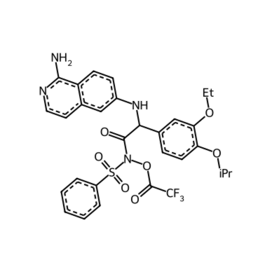 CCOc1cc(C(Nc2ccc3c(N)nccc3c2)C(=O)N(OC(=O)C(F)(F)F)S(=O)(=O)c2ccccc2)ccc1OC(C)C